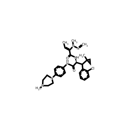 C=NN(C)/C(=C\C)C(=O)N[C@H](C(=O)Nc1ccc(N2CCN(C)CC2)cc1)C(c1ccccc1Cl)C1(C)CC1